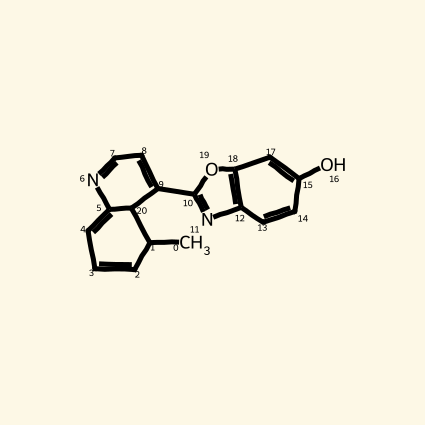 CC1C=CC=C2N=CC=C(c3nc4ccc(O)cc4o3)C21